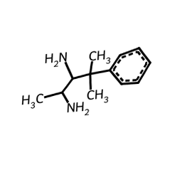 CC(N)C(N)C(C)(C)c1ccccc1